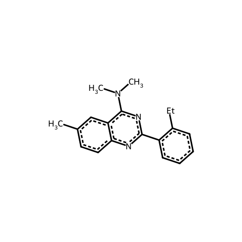 CCc1ccccc1-c1nc(N(C)C)c2cc(C)ccc2n1